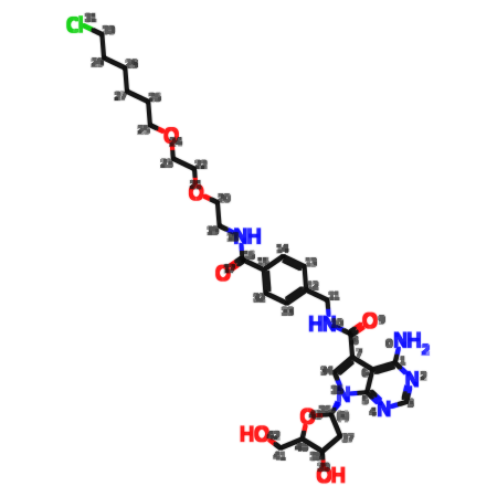 Nc1ncnc2c1c(C(=O)NCc1ccc(C(=O)NCCOCCOCCCCCCCl)cc1)cn2[C@H]1CC(O)C(CO)O1